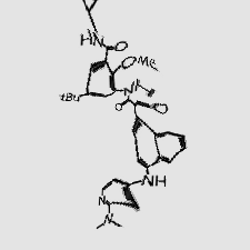 COc1c(NC(=O)C(=O)c2ccc(Nc3ccnc(N(C)C)c3)c3ccccc23)cc(C(C)(C)C)cc1C(=O)NC1CC1